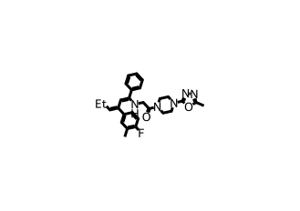 CC/C=C(\C=C(/NCC(=O)N1CCN(c2nnc(C)o2)CC1)c1ccccc1)c1ccc(F)c(C)c1